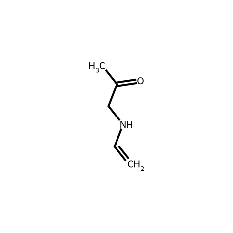 C=CNCC(C)=O